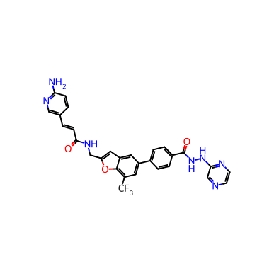 Nc1ccc(C=CC(=O)NCc2cc3cc(-c4ccc(C(=O)NNc5cnccn5)cc4)cc(C(F)(F)F)c3o2)cn1